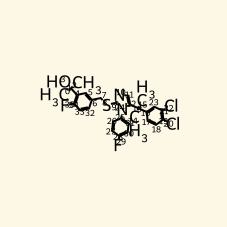 CC(C)(O)c1cc(CSc2ncc(C(C)(C)c3ccc(Cl)c(Cl)c3)n2-c2ccc(F)cc2)ccc1F